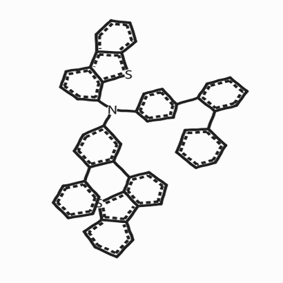 c1ccc(-c2ccccc2-c2ccc(N(c3ccc(-c4ccccc4)c(-c4cccc5c4sc4ccccc45)c3)c3cccc4c3sc3ccccc34)cc2)cc1